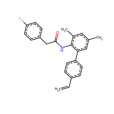 C=Cc1ccc(-c2cc(C)cc(C)c2NC(=O)Cc2ccc(F)cc2)cc1